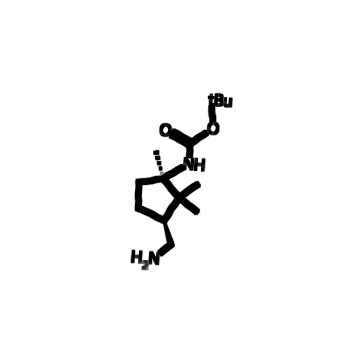 CC(C)(C)OC(=O)N[C@]1(C)CC[C@H](CN)C1(C)C